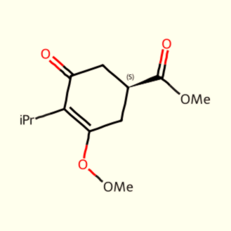 COOC1=C(C(C)C)C(=O)C[C@@H](C(=O)OC)C1